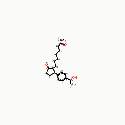 CCCCCC(O)c1ccc(C2CCC(=O)C2CCCCCCC(=O)OC)cc1